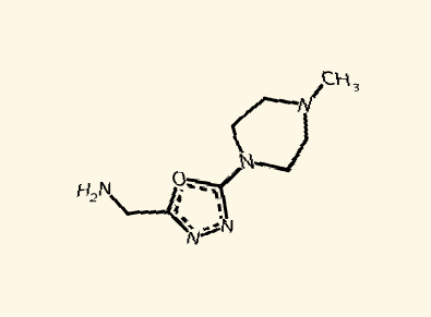 CN1CCN(c2nnc(CN)o2)CC1